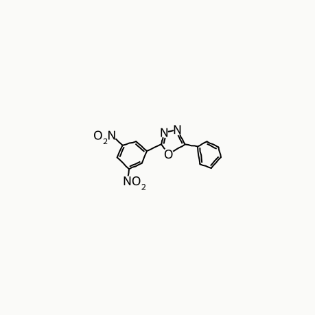 O=[N+]([O-])c1cc(-c2nnc(-c3ccccc3)o2)cc([N+](=O)[O-])c1